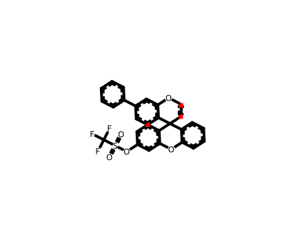 O=S(=O)(Oc1ccc2c(c1)Oc1ccccc1C21c2ccccc2Oc2cc(-c3ccccc3)ccc21)C(F)(F)F